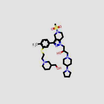 CS(=O)(=O)N1CCc2c(c(-c3ccc(C(F)(F)F)c(SCCN4CCCC(CO)C4)c3)nn2CC(O)CN2CCC(N3CCCC3)CC2)C1